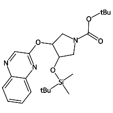 CC(C)(C)OC(=O)N1CC(Oc2cnc3ccccc3n2)C(O[Si](C)(C)C(C)(C)C)C1